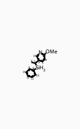 COc1ccc(C(C)[SiH2]c2ccccc2)cn1